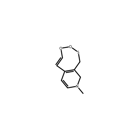 CN1C=CC2=C(CSOO/C=C/2)C1